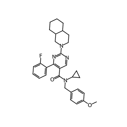 COc1ccc(CN(C(=O)c2cnc(N3CCC4CCCCC4C3)nc2-c2ccccc2F)C2CC2)cc1